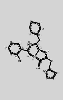 O=c1c(Cc2ccco2)nc2c(Cc3ccccc3)[nH]c(-c3ccccc3F)cn1-2